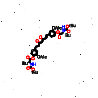 CC[C@H](C)[C@H](NC(=O)OC(C)(C)C)C(=O)Oc1ccc(/C=C/C(=O)CC(=O)CCc2ccc(OC(=O)[C@@H](NC(=O)OC(C)(C)C)[C@@H](C)CC)c(OC)c2)cc1OC